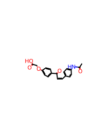 CC(=O)Nc1ccc(/C=C\C(=O)c2ccc(OCC(=O)O)cc2)cc1